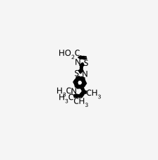 CC1=CC(C)(C)N(C)c2cc3sc(C4=NC(C(=O)O)CS4)nc3cc21